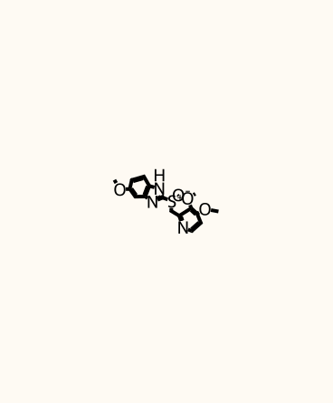 COc1ccc2[nH]c([S@+]([O-])Cc3nccc(OC)c3OC)nc2c1